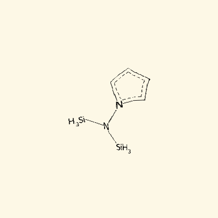 [SiH3]N([SiH3])n1cccc1